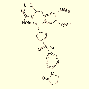 CNC(=O)N1C=C(c2ccc(S(=O)(=O)c3ccc(N4CCCC4=O)cc3)cc2)c2cc(OC)c(OC)cc2CC1C